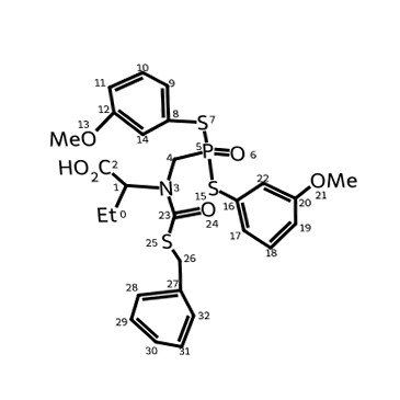 CCC(C(=O)O)N(CP(=O)(Sc1cccc(OC)c1)Sc1cccc(OC)c1)C(=O)SCc1ccccc1